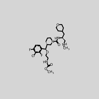 CNC[C@H](CC1CCOCC1)NC(=O)N1CCC[C@@H]([C@@H](OCCNC(=O)OC)c2ccc(F)c(Cl)c2F)C1